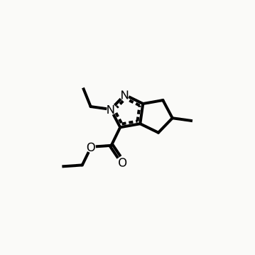 CCOC(=O)c1c2c(nn1CC)CC(C)C2